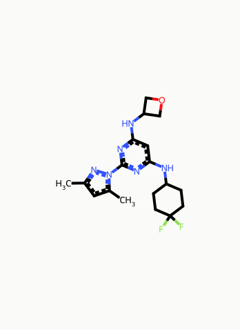 Cc1cc(C)n(-c2nc(NC3CCC(F)(F)CC3)cc(NC3COC3)n2)n1